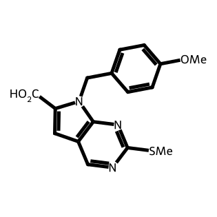 COc1ccc(Cn2c(C(=O)O)cc3cnc(SC)nc32)cc1